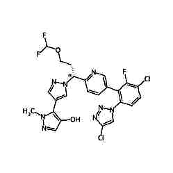 Cn1ncc(O)c1-c1cnn([C@H](CCOC(F)F)c2ccc(-c3c(-n4cc(Cl)nn4)ccc(Cl)c3F)cn2)c1